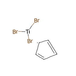 [Br][Ti]([Br])[Br].[CH]1C=CC=C1